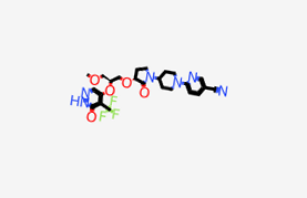 COC[C@@H](CO[C@@H]1CCN(C2CCN(c3ccc(C#N)cn3)CC2)C1=O)Oc1cn[nH]c(=O)c1C(F)(F)F